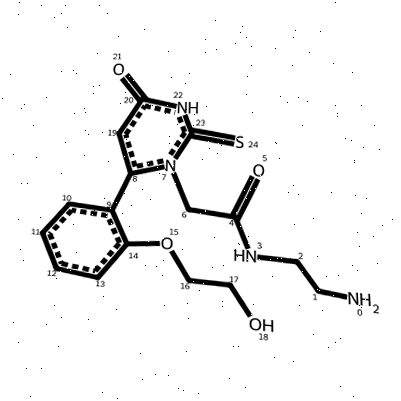 NCCNC(=O)Cn1c(-c2ccccc2OCCO)cc(=O)[nH]c1=S